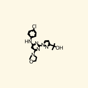 CC(C)(O)c1ccn(-c2nc(Nc3ccc(Cl)cc3)cc(N3CCOCC3)n2)n1